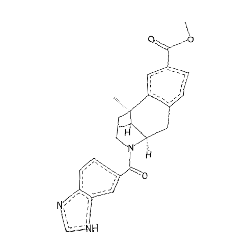 COC(=O)c1ccc2c(c1)[C@]1(C)CCN(C(=O)c3ccc4nc[nH]c4c3)[C@H](C2)[C@H]1C